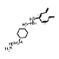 BNB[C@H]1CC[C@H](BNBC(/C=C\C=C)=C/C=C)CC1